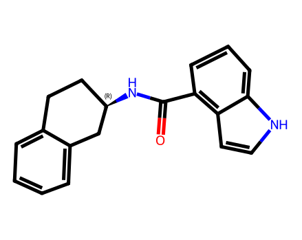 O=C(N[C@@H]1CCc2ccccc2C1)c1cccc2[nH]ccc12